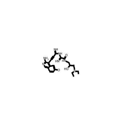 CCN(CC)CC(O)CNC(=O)C(=N)NC(=N)C#Cc1c(N)ncc2ccc(Cl)cc12